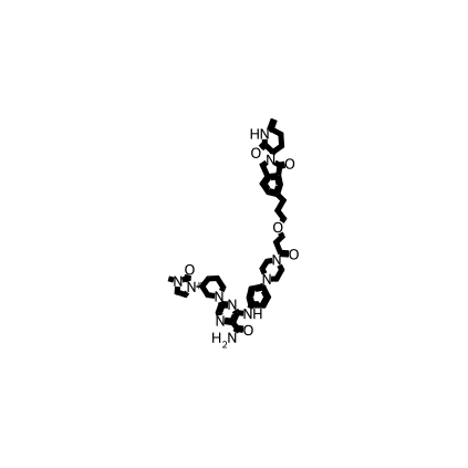 C=C1CCC(N2Cc3ccc(CCCOCCC(=O)N4CCN(c5ccc(Nc6nc(N7CCC[C@@H](N8CCN(C)C8=O)C7)cnc6C(N)=O)cc5)CC4)cc3C2=O)C(=O)N1